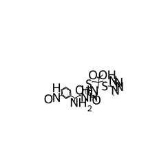 Cn1nnnc1SCC1(C(=O)O)CS[C@@H]2C(NC(=O)C(N)c3cccc(NC=O)c3)C(=O)N2C1